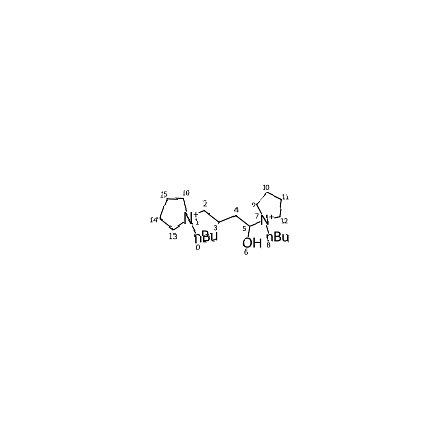 CCCC[N+]1(CCCC(O)[N+]2(CCCC)CCCC2)CCCC1